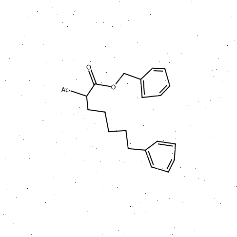 CC(=O)C(CCCCCc1ccccc1)C(=O)OCc1ccccc1